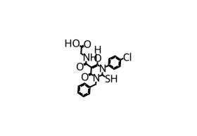 O=C(O)CNC(=O)C1=C(O)N(c2ccc(Cl)cc2)C(S)N(Cc2ccccc2)C1=O